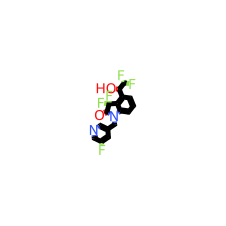 O=C1N(Cc2cncc(F)c2)c2cccc(C(O)C(F)F)c2C1(F)F